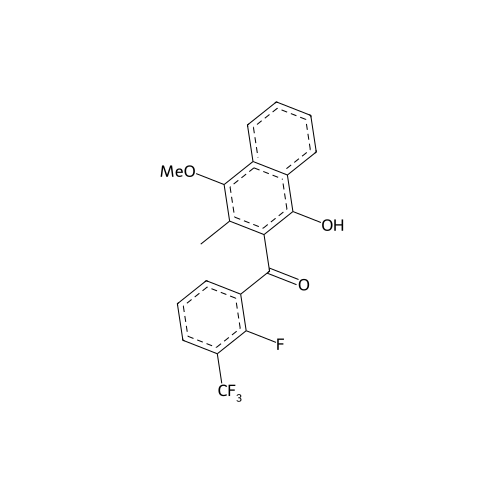 COc1c(C)c(C(=O)c2cccc(C(F)(F)F)c2F)c(O)c2ccccc12